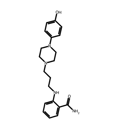 NC(=O)c1ccccc1NCCCN1CCN(c2ccc(O)cc2)CC1